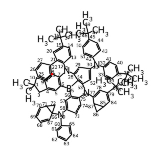 CC1(C)Cc2cc3c(cc2C1)N(c1ccc(C(C)(C)C)cc1-c1ccccc1)c1cc(N(c2ccc(C(C)(C)C)cc2)c2ccc(C(C)(C)C)cc2)cc2c1B3c1cc(N(c3ccccc3)C34C=CC=CC3C4)ccc1N2C1=CC(C(C)(C)C)=CC2CC12